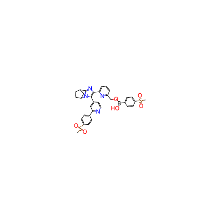 CS(=O)(=O)c1ccc(B(O)OCc2cccc(-c3nc4n(c3-c3ccnc(-c5ccc(S(C)(=O)=O)cc5)c3)C3CCC4C3)n2)cc1